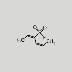 C/C=C\C(=C/O)S(=O)(=O)F